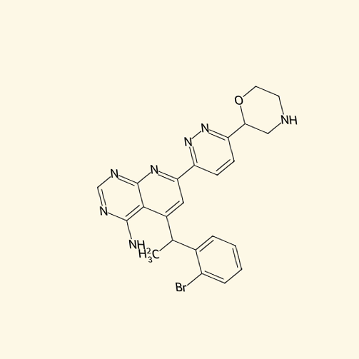 CC(c1ccccc1Br)c1cc(-c2ccc(C3CNCCO3)nn2)nc2ncnc(N)c12